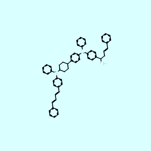 CC(C/C=C/c1ccccc1)c1ccc(N(c2ccccc2)c2ccc(C3CCC(N(c4ccccc4)c4ccc(/C=C/C=C/c5ccccc5)cc4)CC3)cc2)cc1